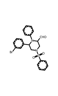 O=CC1CN(S(=O)(=O)c2ccccc2)CC(c2cccc(Br)c2)N1c1ccccc1